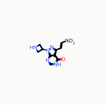 O=c1[nH]cnc2c1c(C=C[N+](=O)[O-])nn2C1CNC1